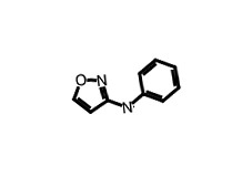 c1ccc([N]c2ccon2)cc1